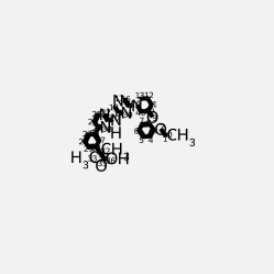 CCOc1ccccc1OC1CCCN(c2cncc(Nc3nccc(-c4cccc(C(C)(C)C(=O)O)c4)n3)n2)C1